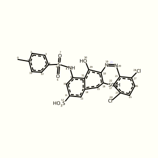 Cc1ccc(S(=O)(=O)Nc2cc(S(=O)(=O)O)cc3cc(S(=O)(=O)O)c(/N=N\c4cc(Cl)ccc4Cl)c(O)c23)cc1